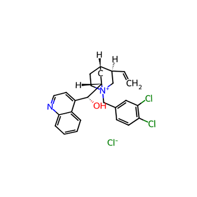 C=C[C@H]1C[N+]2(Cc3ccc(Cl)c(Cl)c3)CC[C@H]1C[C@H]2[C@H](O)c1ccnc2ccccc12.[Cl-]